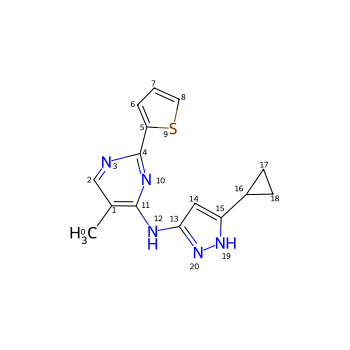 Cc1cnc(-c2cccs2)nc1Nc1cc(C2CC2)[nH]n1